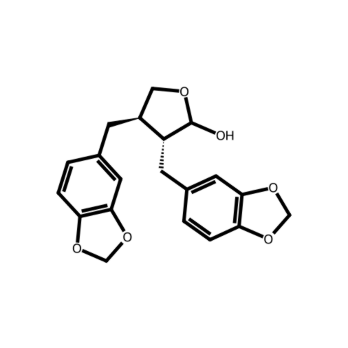 OC1OC[C@H](Cc2ccc3c(c2)OCO3)[C@H]1Cc1ccc2c(c1)OCO2